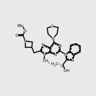 C[C@@H](O)c1nc2ccccc2n1-c1nc(N2CCOCC2)c2nc(CC3CN(C(=O)OC(C)(C)C)C3)n(C)c2n1